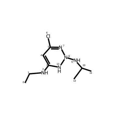 CCNC1=CC(Cl)=NN(NC(C)C)N1